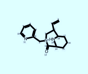 C=CC1CN(Cc2ccccn2)C(=O)C2CCCC1N2